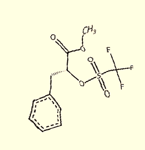 COC(=O)[C@@H](Cc1ccccc1)OS(=O)(=O)C(F)(F)F